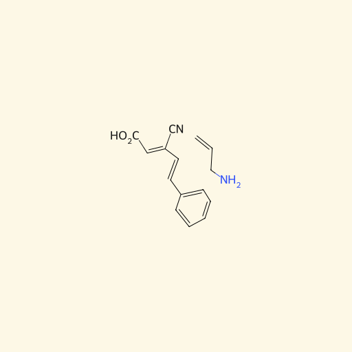 C=CCN.N#CC(C=Cc1ccccc1)=CC(=O)O